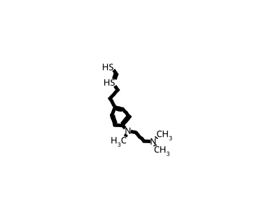 CN(C)CCN(C)c1ccc(CC[SH]=CS)cc1